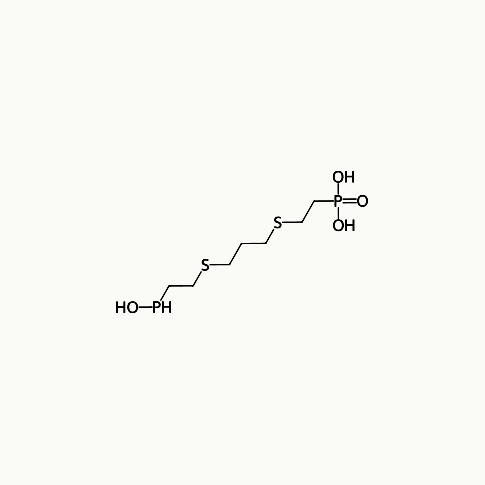 O=P(O)(O)CCSCCCSCCPO